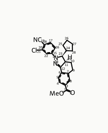 COC(=O)c1ccc2c(c1)CC[C@H]1C2=NN(c2ccc(C#N)c(Cl)c2)[C@H]1C1CCCC1